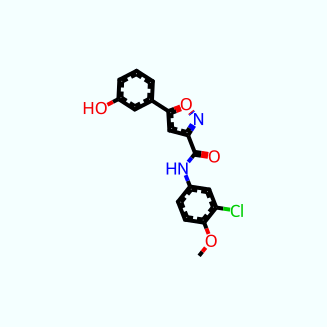 COc1ccc(NC(=O)c2cc(-c3cccc(O)c3)on2)cc1Cl